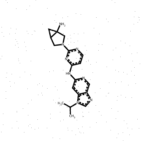 CC(C)n1cnc2cnc(Nc3ccnc(N4CC5CC5(N)C4)n3)cc21